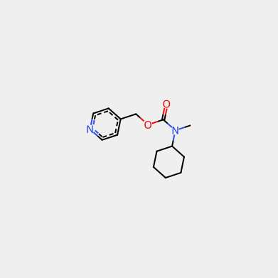 CN(C(=O)OCc1ccncc1)C1CCCCC1